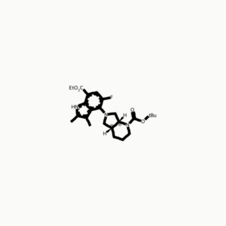 CCOC(=O)c1cc(F)c(N2C[C@H]3CCCN(C(=O)OC(C)(C)C)[C@H]3C2)c2c(C)c(C)[nH]c12